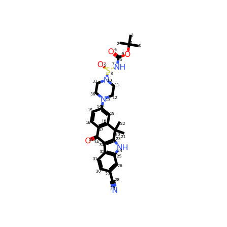 CC(C)(C)OC(=O)N[S+]([O-])N1CCN(c2ccc3c(c2)C(C)(C)c2[nH]c4cc(C#N)ccc4c2C3=O)CC1